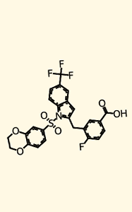 O=C(O)c1ccc(F)c(Cc2cc3cc(C(F)(F)F)ccc3n2S(=O)(=O)c2ccc3c(c2)OCCO3)c1